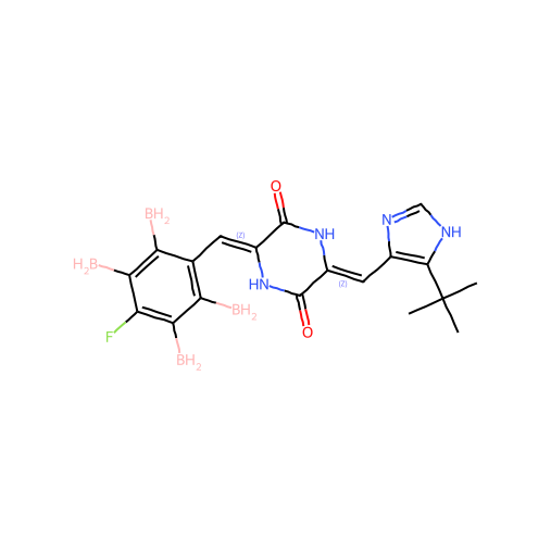 Bc1c(B)c(/C=c2\[nH]c(=O)/c(=C/c3nc[nH]c3C(C)(C)C)[nH]c2=O)c(B)c(B)c1F